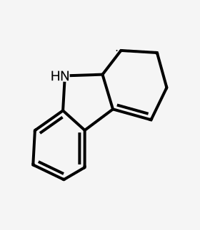 [CH]1CCC=C2c3ccccc3NC12